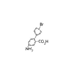 Nc1ccc(-c2ccc(Br)cc2)c(C(=O)O)c1